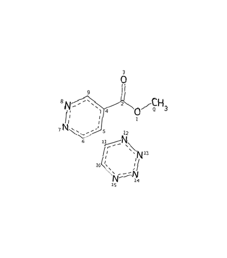 COC(=O)c1ccnnc1.c1cnnnn1